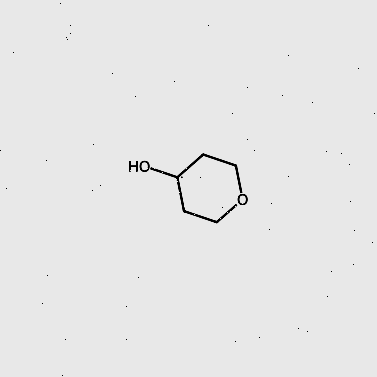 O[C]1CCOCC1